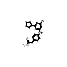 CCc1cc(Nc2ccc(CC(N)=O)cc2)nc(C2CCCC2)n1